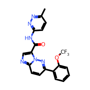 Cc1ccc(NC(=O)c2cnc3ccc(-c4ccccc4OC(F)(F)F)nn23)nn1